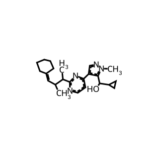 CC(C=C1CCCCC1)C(C)c1nccc(-c2cnn(C)c2C(O)C2CC2)n1